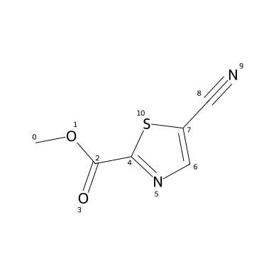 COC(=O)c1ncc(C#N)s1